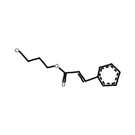 O=C(C=Cc1ccccc1)OCCCCl